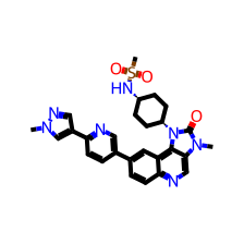 Cn1cc(-c2ccc(-c3ccc4ncc5c(c4c3)n([C@H]3CC[C@@H](NS(C)(=O)=O)CC3)c(=O)n5C)cn2)cn1